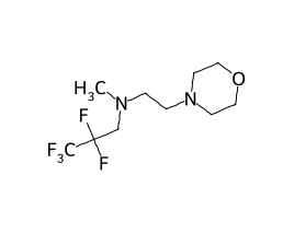 CN(CCN1CCOCC1)CC(F)(F)C(F)(F)F